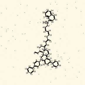 C=C/C=C\C(=C\N(c1ccc(-c2ccccc2)cc1)c1ccc(-c2ccccc2)cc1)C(=C)/C=C\C(=C)/C(=C/C=C(\C)C/C=C\C=C/CNc1cccc2ccccc12)CC